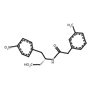 Cc1cccc(CC(=O)N[C@H](CC(=O)O)Cc2ccc([N+](=O)[O-])cc2)c1